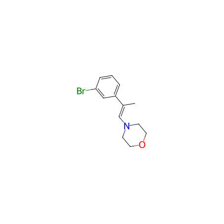 C/C(=C\N1CCOCC1)c1cccc(Br)c1